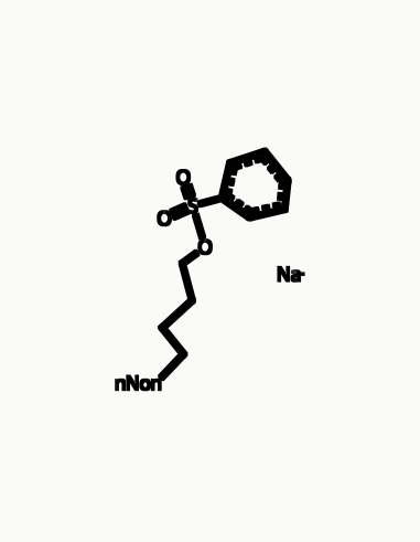 CCCCCCCCCCCCCOS(=O)(=O)c1ccccc1.[Na]